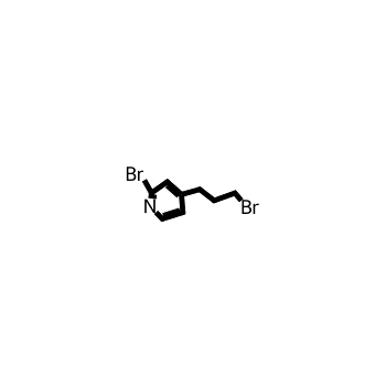 BrCCCc1ccnc(Br)c1